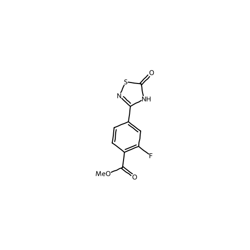 COC(=O)c1ccc(-c2nsc(=O)[nH]2)cc1F